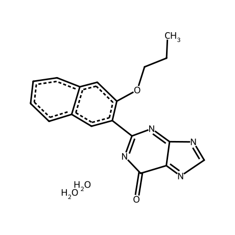 CCCOc1cc2ccccc2cc1C1=NC(=O)C2=NC=NC2=N1.O.O